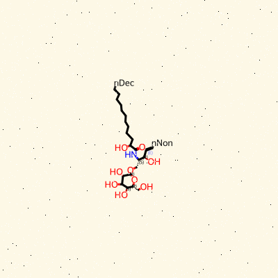 CCCCCCCCC/C=C/[C@@H](O)[C@H](CO[C@@H]1O[C@H](CO)[C@@H](O)C(O)C1O)NC(=O)C(O)CCCCCCCCCCCCCCCCCCCC